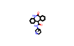 O=C1Nc2ccccc2C(C(=O)NC2CN3CCC2CC3)c2ccccc21